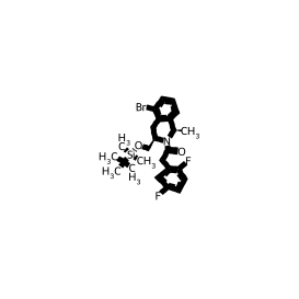 C[C@H]1c2cccc(Br)c2C[C@H](CO[Si](C)(C)C(C)(C)C)N1C(=O)Cc1cc(F)ccc1F